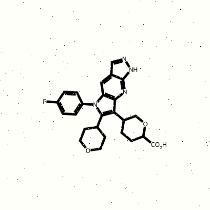 O=C(O)C1CCC(c2c(C3CCOCC3)n(-c3ccc(F)cc3)c3cc4cn[nH]c4nc23)CO1